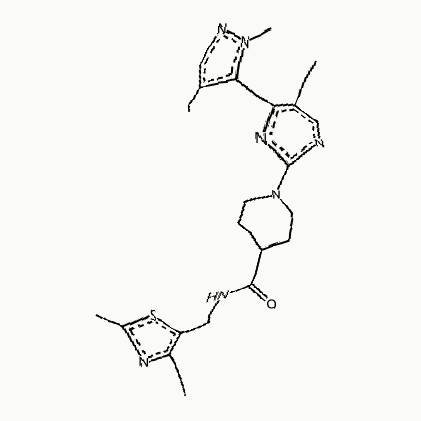 Cc1nc(C)c(CNC(=O)C2CCN(c3ncc(C)c(-c4c(C)cnn4C)n3)CC2)s1